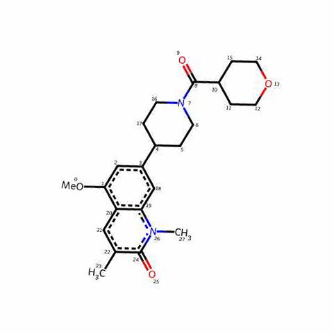 COc1cc(C2CCN(C(=O)C3CCOCC3)CC2)cc2c1cc(C)c(=O)n2C